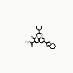 CCN(CC)C(=O)Cn1c(=O)c(C(N)=O)cc2cc(-c3cn4c(n3)CCCC4)cnc21